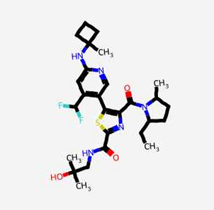 CCC1CCC(C)N1C(=O)c1nc(C(=O)NCC(C)(C)O)sc1-c1cnc(NC2(C)CCC2)cc1C(F)F